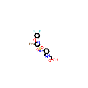 O=C(O)Cn1ncc2c1CCCC2NS(=O)(=O)c1cnc(Oc2ccc(F)c(F)c2)c(Br)c1